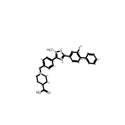 Cl.O=C(O)C1CCN(Cc2ccc(-c3noc(-c4ccc(-c5ccccc5)c(F)c4)n3)cc2)CC1